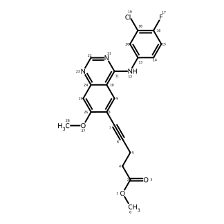 COC(=O)CCC#Cc1cc2c(Nc3ccc(F)c(Cl)c3)ncnc2cc1OC